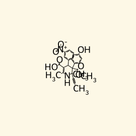 CC#CC1(C)NC(C)=C(C(=O)O)C(c2cccc([N+](=O)[O-])c2)C1(C(=O)OC)c1ccc(O)cc1